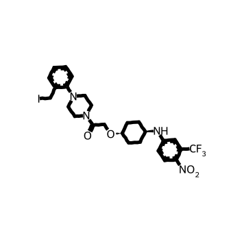 O=C(CO[C@H]1CC[C@H](Nc2ccc([N+](=O)[O-])c(C(F)(F)F)c2)CC1)N1CCN(c2ccccc2CI)CC1